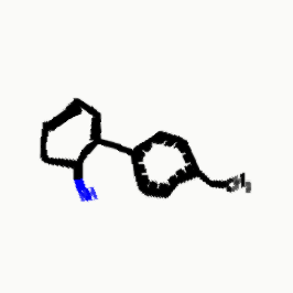 Cc1ccc(C2=CC=CCC2=N)cc1